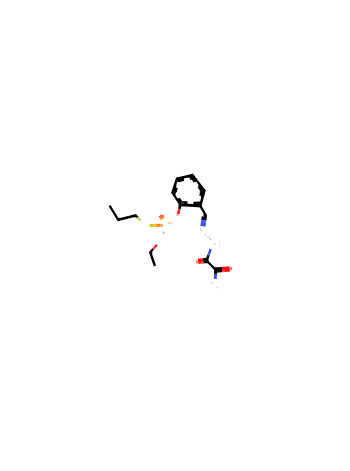 CCCSP(=O)(OCC)Oc1ccccc1C=NNC(=O)C(N)=O